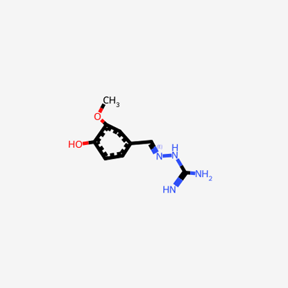 COc1cc(/C=N/NC(=N)N)ccc1O